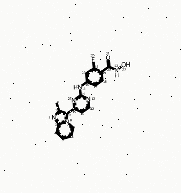 Cc1nc2ccccn2c1-c1ccnc(Nc2ccc(C(=O)NO)c(F)c2)n1